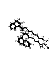 C1CO1.CCCCCCCCC(OC(CCCCCCCC)c1cccc2ccccc12)c1cccc2ccccc12